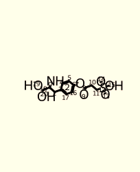 NC(Cc1ccc(OC(=O)CCS(=O)(=O)O)cc1)C(O)O